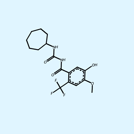 COc1cc(C(F)(F)F)c(C(=O)NC(=O)NC2CCCCCC2)cc1O